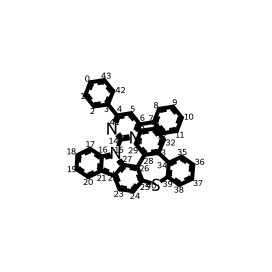 c1ccc(-c2cc(-c3ccccc3)nc(-n3c4ccccc4c4ccc5c(c43)-c3ccccc3-c3ccccc3S5)n2)cc1